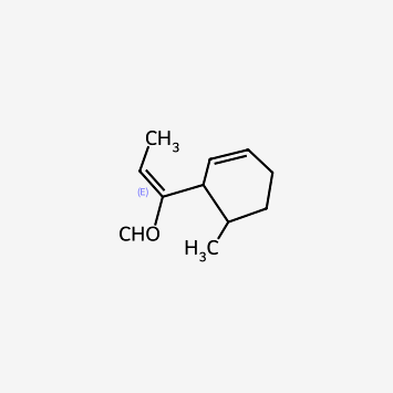 C/C=C(/C=O)C1C=CCCC1C